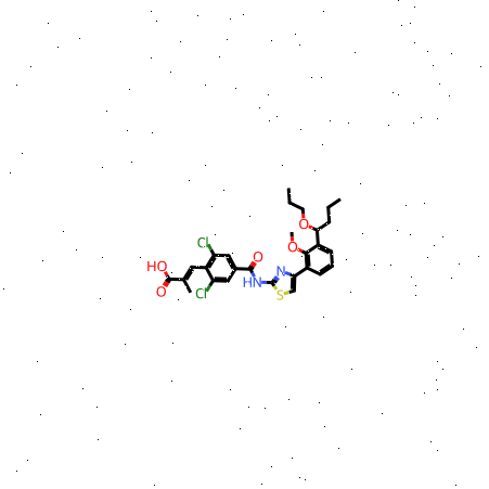 CCCOC(CCC)c1cccc(-c2csc(NC(=O)c3cc(Cl)c(/C=C(\C)C(=O)O)c(Cl)c3)n2)c1OC